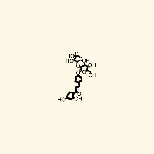 [CH2][C@@]1(O)CO[C@H](O[C@H]2[C@H](Oc3ccc(/C=C/C(=O)c4ccc(O)cc4O)cc3)O[C@H](CO)[C@@H](O)[C@@H]2O)[C@H]1O